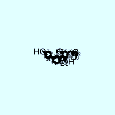 CCc1ccc(-c2ccc(O)cc2)cc1C1=C(O)CC(CC2OCCO2)CC1=O